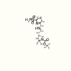 CC(C)(C)OC(=O)N1C[C@@H](CCNCc2cccc(S(N)(=O)=O)n2)CC1(C)C